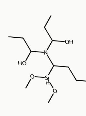 CCCC(N(C(O)CC)C(O)CC)[SiH](OC)OC